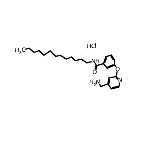 CCCCCCCCCCCCCNC(=O)c1cccc(Oc2cc(CN)ccn2)c1.Cl